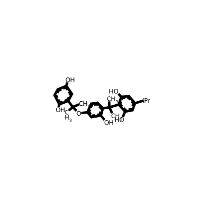 CC(C)c1cc(O)c(C(C)(C)c2ccc(OC(C)(C)c3cc(O)ccc3O)cc2O)c(O)c1